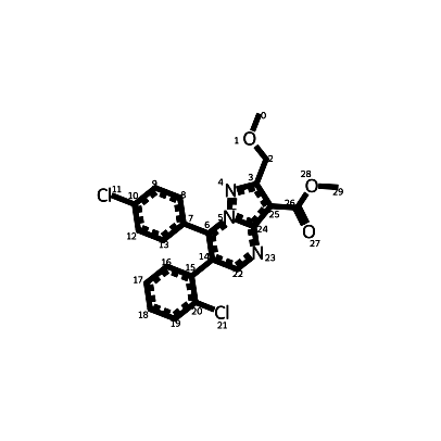 COCc1nn2c(-c3ccc(Cl)cc3)c(-c3ccccc3Cl)cnc2c1C(=O)OC